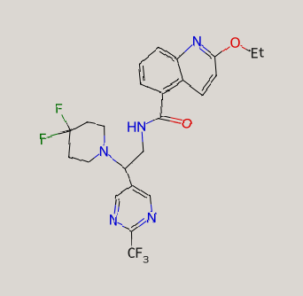 CCOc1ccc2c(C(=O)NCC(c3cnc(C(F)(F)F)nc3)N3CCC(F)(F)CC3)cccc2n1